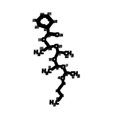 CCCCOC(C)OC(C)OC(C)OC(C)OC(=O)c1ccccc1